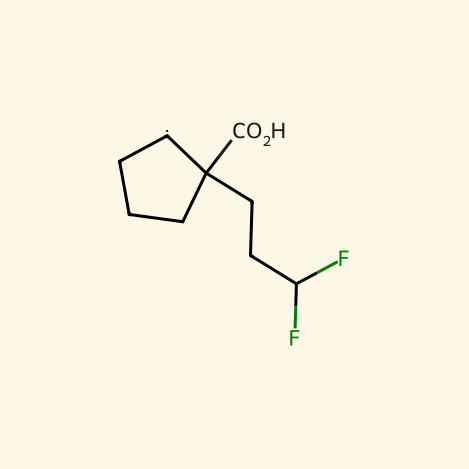 O=C(O)C1(CCC(F)F)[CH]CCC1